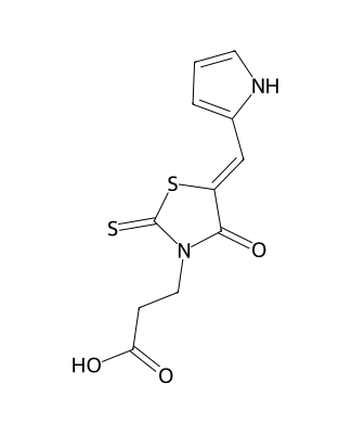 O=C(O)CCN1C(=O)/C(=C/c2ccc[nH]2)SC1=S